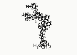 COc1nc(-c2cccc(-c3cccc4c3CC[C@@H]4Oc3nc(OCc4cncc(C#N)c4)c(CN[C@@](C)(CO)C(=O)O)cc3Cl)c2Cl)ccc1CN1CC2(C1)CN(C(=O)OC(C)(C)C)C2